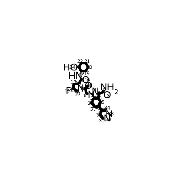 NC(=O)c1nn(CC(=O)N2C[C@H](F)CC2C(=O)N[C@H]2CCCC[C@@H]2O)c2ccc(-c3ccnnc3)cc12